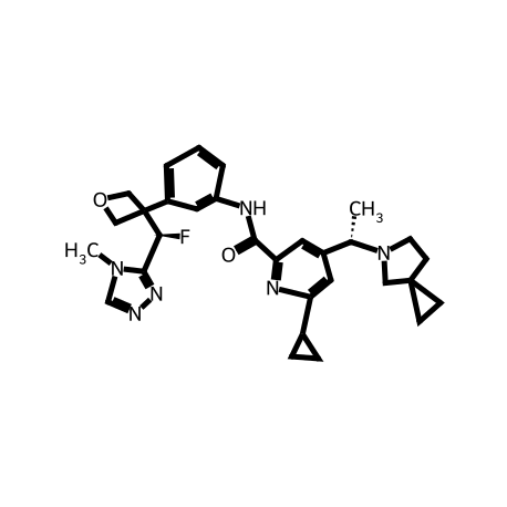 C[C@@H](c1cc(C(=O)Nc2cccc(C3([C@@H](F)c4nncn4C)COC3)c2)nc(C2CC2)c1)N1CCC2(CC2)C1